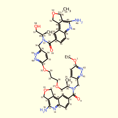 CCOc1ccc(CN(C(=O)c2ccc3nc(N)c4c(c3c2)COC4)[C@H](C)COCCCOc2ccc(CN(C(=O)c3ccc4nc(N)c5c(c4c3)CO[C@@H]5C)[C@H](C)CO)nn2)nn1